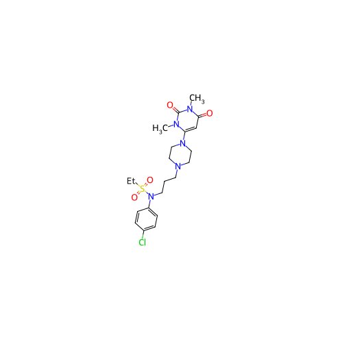 CCS(=O)(=O)N(CCCN1CCN(c2cc(=O)n(C)c(=O)n2C)CC1)c1ccc(Cl)cc1